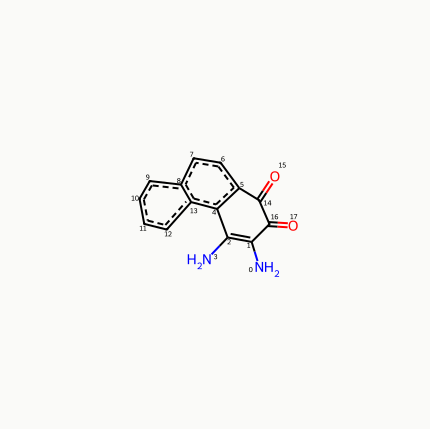 NC1=C(N)c2c(ccc3ccccc23)C(=O)C1=O